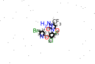 Nn1c(C(F)(F)F)cc(=O)n(-c2cc(Oc3ccc(Br)cn3)c(Cl)cc2F)c1=O